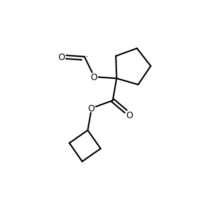 O=[C]OC1(C(=O)OC2CCC2)CCCC1